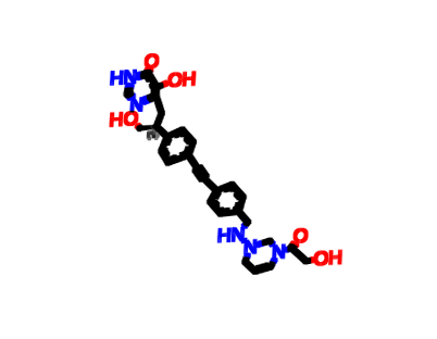 O=C(CO)N1C=CCN(NCc2ccc(C#Cc3ccc([C@@H](CO)Cc4nc[nH]c(=O)c4O)cc3)cc2)C1